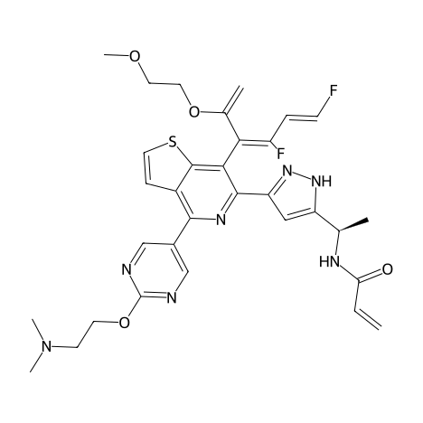 C=CC(=O)N[C@H](C)c1cc(-c2nc(-c3cnc(OCCN(C)C)nc3)c3ccsc3c2/C(C(=C)OCCOC)=C(F)/C=C/F)n[nH]1